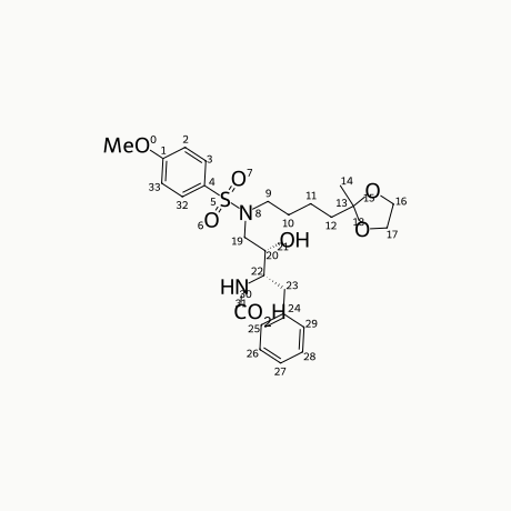 COc1ccc(S(=O)(=O)N(CCCCC2(C)OCCO2)C[C@H](O)[C@H](Cc2ccccc2)NC(=O)O)cc1